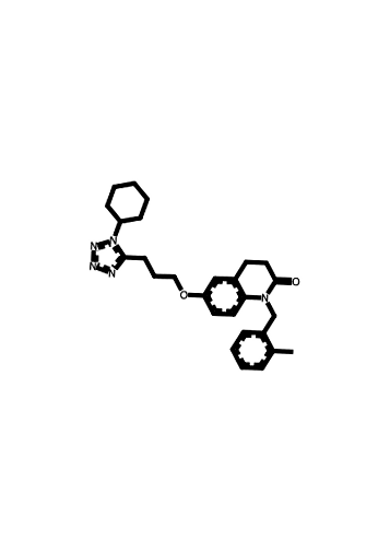 Cc1ccccc1CN1C(=O)CCc2cc(OCCCc3nnnn3C3CCCCC3)ccc21